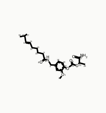 COc1cc(CNC(=O)CCCCC=CC(C)C)ccc1OC(=O)OC(C)C(N)=O